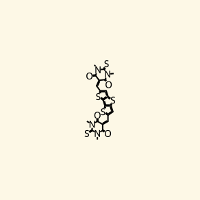 CN1C(=O)C(=Cc2cc3sc4cc(C=C5C(=O)N(C)C(=S)N(C)C5=O)sc4c3s2)C(=O)N(C)C1=S